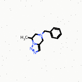 CC1CN(Cc2ccccc2)Cc2cnnn21